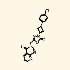 O=c1c2cccnc2ncn1Cc1nn([C@H]2C[C@H](c3ccc(Cl)cc3)C2)c(=O)o1